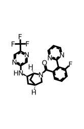 O=C(c1cccc(F)c1-c1ncccn1)N1C[C@H]2C[C@@H](Nc3cnc(C(F)(F)F)cn3)[C@@H]1C2